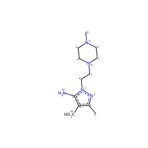 Cc1nn(CCN2CCN(C)CC2)c(N)c1C(=O)O